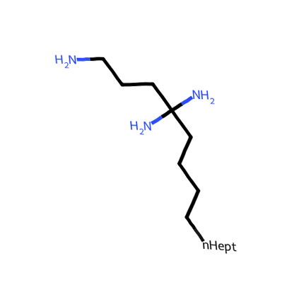 CCCCCCCCCCCC(N)(N)CCCN